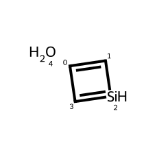 C1=C[SiH]=C1.O